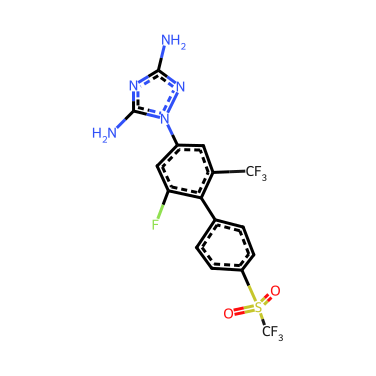 Nc1nc(N)n(-c2cc(F)c(-c3ccc(S(=O)(=O)C(F)(F)F)cc3)c(C(F)(F)F)c2)n1